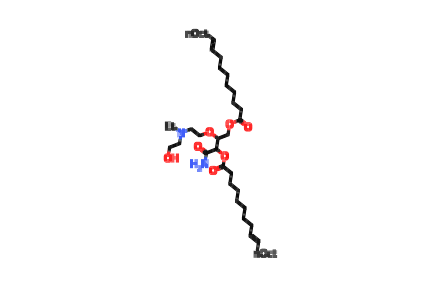 CCCCCCCCC=CCCCCCCCC(=O)OCC(OCCN(CC)CCO)C(OC(=O)CCCCCCCC=CCCCCCCCC)C(N)=O